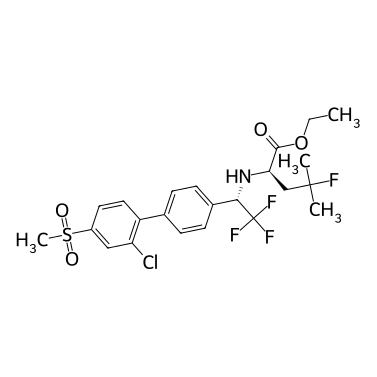 CCOC(=O)[C@@H](CC(C)(C)F)N[C@@H](c1ccc(-c2ccc(S(C)(=O)=O)cc2Cl)cc1)C(F)(F)F